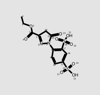 CCOC(=O)C1=NN(c2ccc(S(=O)(=O)O)cc2S(=O)(=O)O)C(=O)C1